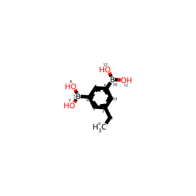 CCc1cc(B(O)O)cc(B(O)O)c1